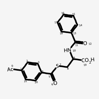 CC(=O)c1ccc(C(=O)SCC(NC(=O)c2ccccc2)C(=O)O)cc1